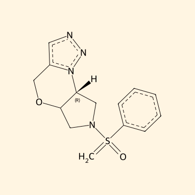 C=S(=O)(c1ccccc1)N1CC2OCc3cnnn3[C@@H]2C1